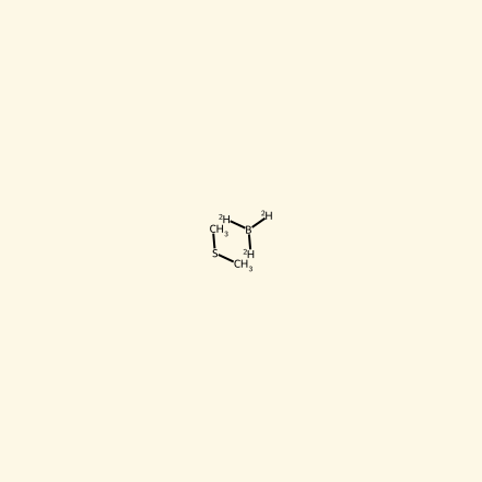 CSC.[2H]B([2H])[2H]